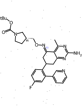 Cc1nc(N)nc2c1/C(=N/OC[C@@H]1CCN(C(=O)OC(C)(C)C)C1)CC(c1ccc(F)cc1-c1cccnc1)C2